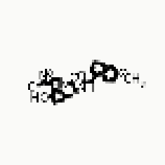 COc1ccc2c(CC(=O)N[C@@H](Cc3ccc(O)cc3)C(=O)NCC3CC(Cl)=NO3)cccc2c1